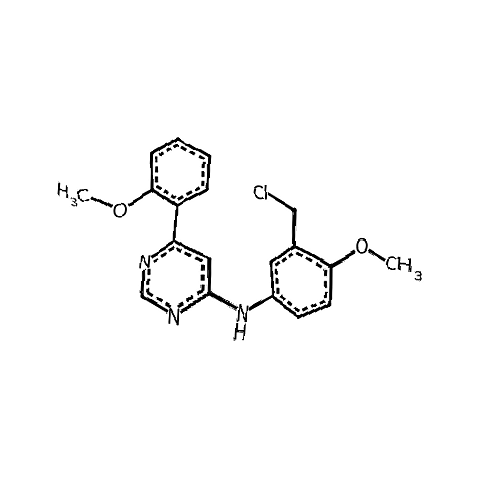 COc1ccc(Nc2cc(-c3ccccc3OC)ncn2)cc1CCl